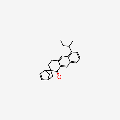 CCC(C)c1cccc2cc3c(cc12)CCC1(CC2C=CC1C2)C3=O